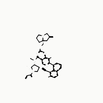 C#Cc1c(F)ccc2cccc(-c3ncc4c(N(C)[C@@H]5CCN(C(=O)C=C)[C@@H]5C)nc(OC[C@@]56CCCN5CC(=C)C6)nc4c3F)c12